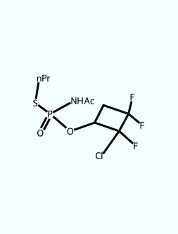 CCCSP(=O)(NC(C)=O)OC1CC(F)(F)C1(F)Cl